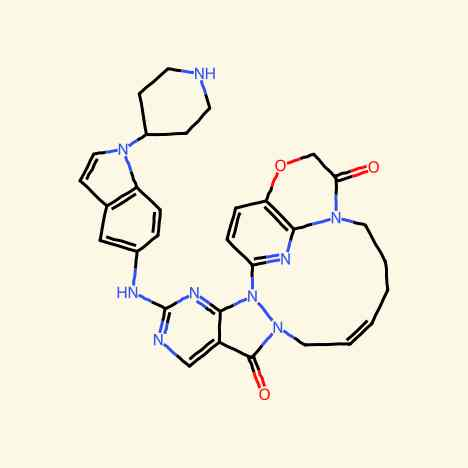 O=C1COc2ccc3nc2N1CCC/C=C\Cn1c(=O)c2cnc(Nc4ccc5c(ccn5C5CCNCC5)c4)nc2n1-3